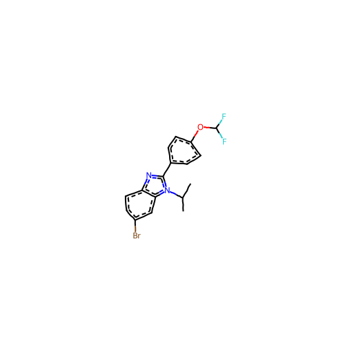 CC(C)n1c(-c2ccc(OC(F)F)cc2)nc2ccc(Br)cc21